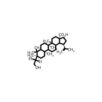 C=C(C)[C@@H]1CC[C@]2(C(=O)O)CC[C@]3(C)C(CCC4[C@@]5(C)CC[C@@](C)(C(CC)(CC)CO)C(C)(C)C5CC[C@]43C)C12